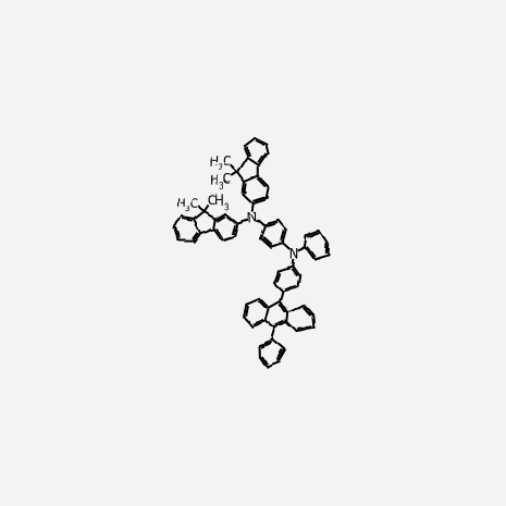 CC1(C)c2ccccc2-c2ccc(N(c3ccc(N(c4ccccc4)c4ccc(-c5c6ccccc6c(-c6ccccc6)c6ccccc56)cc4)cc3)c3ccc4c(c3)C(C)(C)c3ccccc3-4)cc21